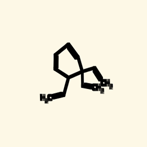 C=CC1C=CC=CC1(C=C)C=C